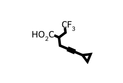 O=C(O)C(CC#CC1CC1)CC(F)(F)F